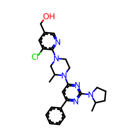 CC1CN(c2ncc(CO)cc2Cl)CCN1c1cc(-c2ccccc2)nc(N2CCCC2C)n1